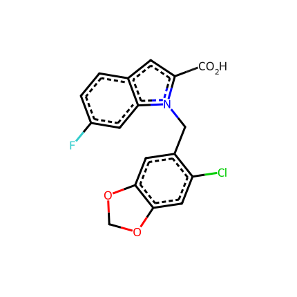 O=C(O)c1cc2ccc(F)cc2n1Cc1cc2c(cc1Cl)OCO2